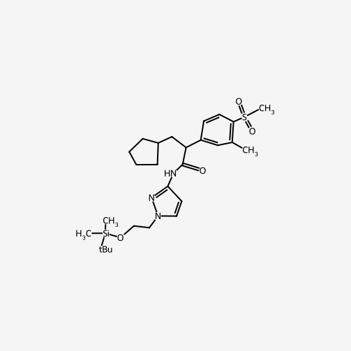 Cc1cc(C(CC2CCCC2)C(=O)Nc2ccn(CCO[Si](C)(C)C(C)(C)C)n2)ccc1S(C)(=O)=O